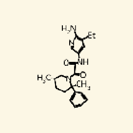 CCc1cc(NC(=O)C(=O)N2C[C@@H](C)CC[C@@]2(C)c2ccccc2)cnc1N